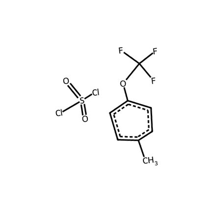 Cc1ccc(OC(F)(F)F)cc1.O=S(=O)(Cl)Cl